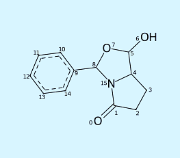 O=C1CCC2C(O)OC(c3ccccc3)N12